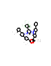 N#Cc1ccccc1-c1ccc2c3ccc(-c4ccccc4C#N)cc3n(-c3cc(-c4c(F)c(F)c(F)c(F)c4F)cc(-n4c5cc(-c6ccccc6C#N)ccc5c5ccc(-c6ccccc6C#N)cc54)c3C(F)(F)F)c2c1